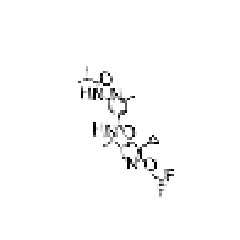 Cc1cc(C(=O)NC(C)c2cnc(OCC(F)F)c(C3CC3)c2)cc(NC(=O)C(C)C)n1